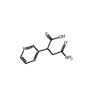 NC(=O)CC(C(O)=S)c1cccnc1